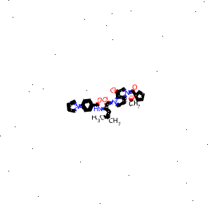 COC1(C(=O)N2CC(=O)C3C2CCN3C(=O)C(CC(C)C)NC(=O)c2ccc(N3CCCC3)cc2)CCCC1